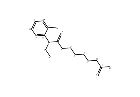 CCN(C(=O)CCCCCCC(C)=O)c1ccccc1C